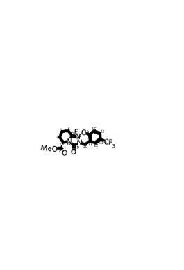 COC(=O)[C@H]1CCCc2nn(Cc3cc(C(F)(F)F)ccc3C(F)(F)F)c(=O)n21